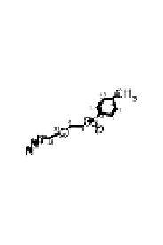 Cc1ccc(S(=O)OCCOCCN=[N+]=[N-])cc1